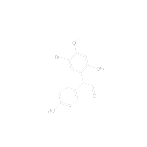 COc1cc(O)c(C(C=O)c2ccc(O)cc2)cc1Br